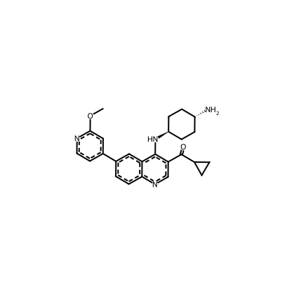 COc1cc(-c2ccc3ncc(C(=O)C4CC4)c(N[C@H]4CC[C@H](N)CC4)c3c2)ccn1